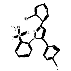 NS(=O)(=O)c1ccccc1-n1nc(-c2ccccc2O)cc1-c1ccc(Cl)cc1